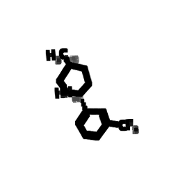 C[C@H]1CC[C@H](c2cccc(C(F)(F)F)c2)NC1